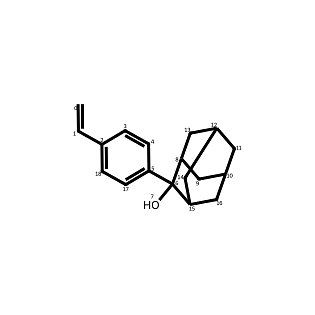 C=Cc1ccc(C2(O)C3CC4CC(C3)CC2C4)cc1